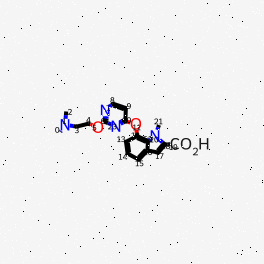 CN(C)CCOc1nccc(Oc2cccc3cc(C(=O)O)n(C)c23)n1